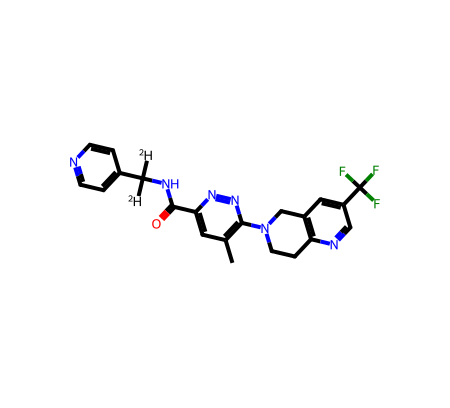 [2H]C([2H])(NC(=O)c1cc(C)c(N2CCc3ncc(C(F)(F)F)cc3C2)nn1)c1ccncc1